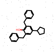 Oc1c(Cc2ccccc2)cc(C2CCCC2)cc1Cc1ccccc1